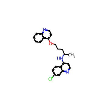 CC(CCCOc1ccnc2ccccc12)Nc1ccnc2cc(Cl)ccc12